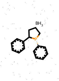 B.c1ccc(C2CCC[P@]2c2ccccc2)cc1